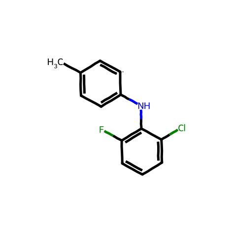 Cc1c[c]c(Nc2c(F)cccc2Cl)cc1